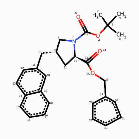 CC(C)(C)OC(=O)N1C[C@@H](Cc2ccc3ccccc3c2)C[C@@H]1C(=O)OCc1ccccc1